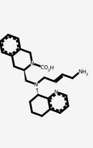 NC/C=C/CN(C[C@H]1Cc2ccccc2CN1C(=O)O)[C@H]1CCCc2cccnc21